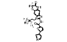 CC(C)(O)CCn1c(NC(=O)c2ccc(-c3ccncc3)s2)nc2cc3c(cc21)OC(F)(F)C(=O)N3